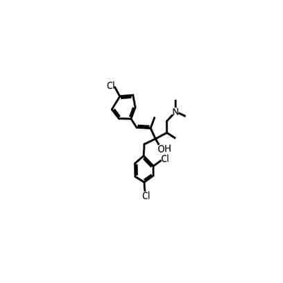 CC(=Cc1ccc(Cl)cc1)C(O)(Cc1ccc(Cl)cc1Cl)C(C)CN(C)C